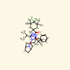 [2H]C1(C(=O)NC(CCN2C3CCC2CC(n2c(C(C)C)nnc2C([2H])([2H])[2H])C3)c2ccccc2)CC([2H])([2H])C(F)(F)C([2H])([2H])C1